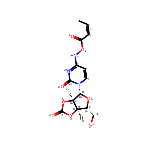 C/C=C\C(=O)ONc1ccn([C@@H]2O[C@H](CO)[C@H]3OC(=O)O[C@H]32)c(=O)n1